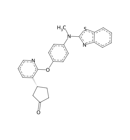 CN(c1ccc(Oc2ncccc2[C@@H]2CCC(=O)C2)cc1)c1nc2ccccc2s1